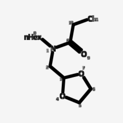 CCCCCCN(CC1OCCO1)C(=O)CCl